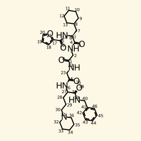 O=C(CNC(=O)[C@H](CC1CCCCC1)NC(=O)c1ccco1)NCC(=O)NC(CCCN1CCCCC1)C(=O)NCc1ccccc1